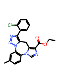 CCOC(=O)c1ncn2c1Cc1c(-c3ccccc3Cl)nnn1-c1cc(C)ccc1-2